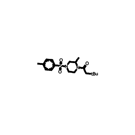 Cc1ccc(S(=O)(=O)N2CCN(C(=O)CC(C)(C)C)C(C)C2)cc1